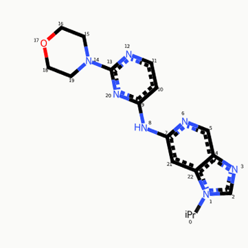 CC(C)n1cnc2cnc(Nc3ccnc(N4CCOCC4)n3)cc21